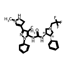 Cc1c(C2=CN(C)NC2)nn(-c2ccccc2)c1NC(=O)N[C@H]1CN(CC(F)(F)F)C[C@@H]1c1ccccc1